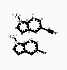 Cn1ccc2cc(Br)cnc21.Cn1ccc2cc(C#N)cnc21